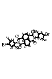 Cc1nc(N2C(=O)c3ccc4c5c(ccc(c35)C2=O)C(=O)N(c2nc(C)c(Br)cc2Br)C4=O)c(Br)cc1Br